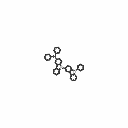 c1ccc(N(c2ccccc2)c2ccc3c(c2)c2ccccc2n3-c2ccc3c(c2)c2ccccc2n3-c2ccccc2)cc1